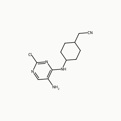 N#CCC1CCC(Nc2nc(Cl)ncc2N)CC1